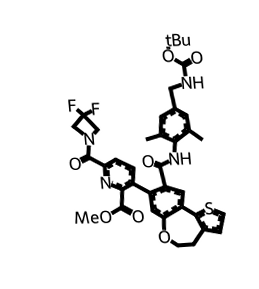 COC(=O)c1nc(C(=O)N2CC(F)(F)C2)ccc1-c1cc2c(cc1C(=O)Nc1c(C)cc(CNC(=O)OC(C)(C)C)cc1C)-c1sccc1CCO2